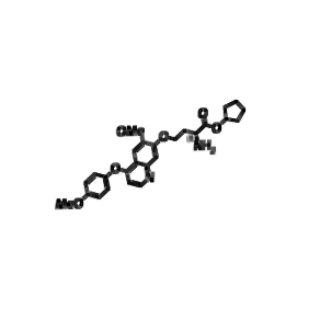 COc1ccc(Oc2ccnc3cc(OCC[C@H](N)C(=O)OC4CCCC4)c(OC)cc23)cc1